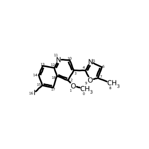 COc1c(-c2ncc(C)o2)cnc2ccc(I)cc12